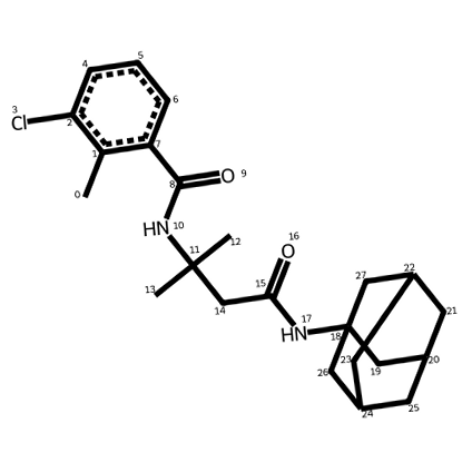 Cc1c(Cl)cccc1C(=O)NC(C)(C)CC(=O)NC12CC3CC(CC(C3)C1)C2